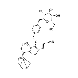 COC(=C1C2CC3CC(C2)CC1C3)c1ccc(/C=C/C#N)c(OCc2ccc(O[C@@H]3OC(CO)[C@H](O)C(O)C3O)cc2)c1Cl